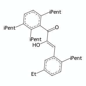 CCCC(C)c1ccc(CC)cc1C=C(O)C(=O)c1c(C(C)CCC)ccc(C(C)CCC)c1C(C)CCC